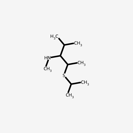 CNC(C(C)C)C(C)SC(C)C